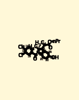 CCCOC(=O)[C@H](C)c1c(C)n(C(=O)c2ccc(Cl)c(Cl)c2)c2ccc(O)cc12